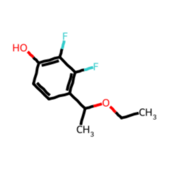 CCOC(C)c1ccc(O)c(F)c1F